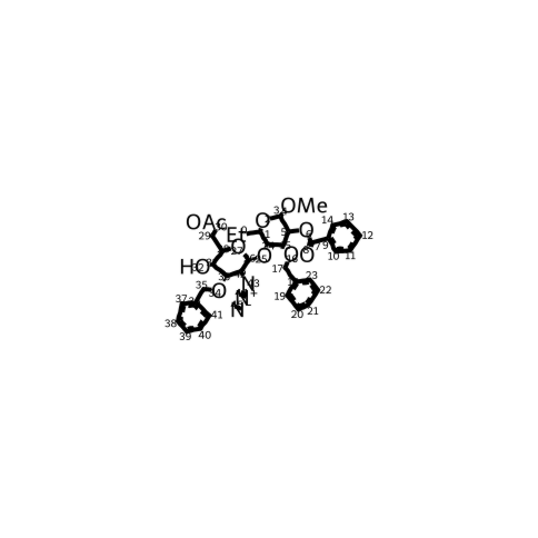 CCC1OC(OC)C(OC(=O)c2ccccc2)[C@H](OCc2ccccc2)[C@H]1O[C@@H]1OC(COC(C)=O)[C@H](O)[C@@H](OCc2ccccc2)C1N=[N+]=[N-]